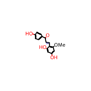 COc1cc(O)cc(O)c1/C=C/C(=O)c1ccc(O)cc1